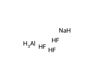 F.F.F.[AlH3].[NaH]